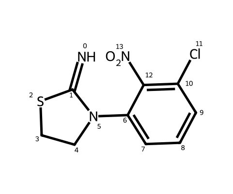 N=C1SCCN1c1cccc(Cl)c1[N+](=O)[O-]